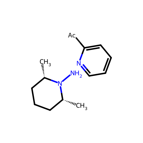 CC(=O)c1ccccn1.C[C@@H]1CCC[C@H](C)N1N